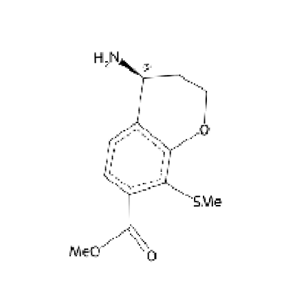 COC(=O)c1ccc2c(c1SC)OCC[C@@H]2N